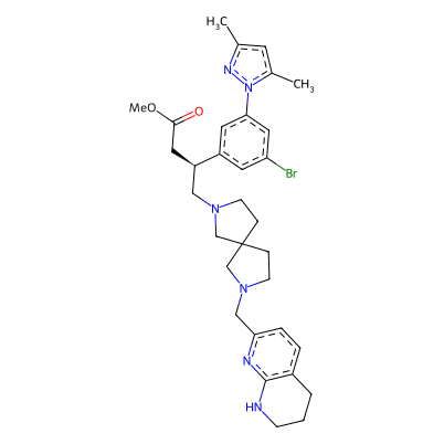 COC(=O)C[C@H](CN1CCC2(CCN(Cc3ccc4c(n3)NCCC4)C2)C1)c1cc(Br)cc(-n2nc(C)cc2C)c1